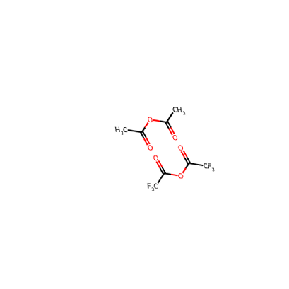 CC(=O)OC(C)=O.O=C(OC(=O)C(F)(F)F)C(F)(F)F